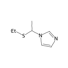 C[CH]SC(C)n1ccnc1